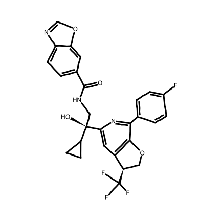 O=C(NC[C@](O)(c1cc2c(c(-c3ccc(F)cc3)n1)OC[C@H]2C(F)(F)F)C1CC1)c1ccc2ncoc2c1